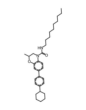 CCCCCCCCCCNC(=O)N1CC(C)Oc2cc(-c3ccc(C4CCCCC4)cc3)ccc21